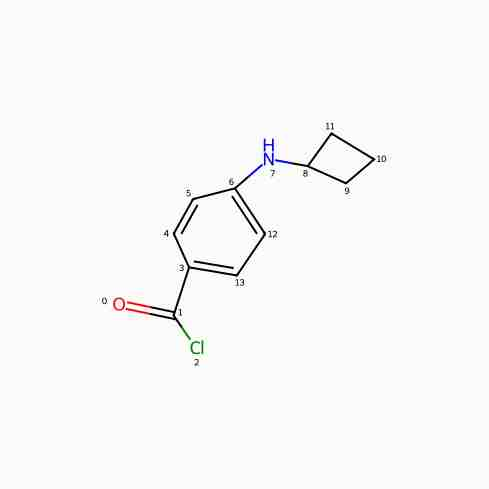 O=C(Cl)c1ccc(NC2CCC2)cc1